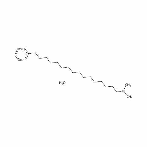 CN(C)CCCCCCCCCCCCCCCCc1ccccc1.O